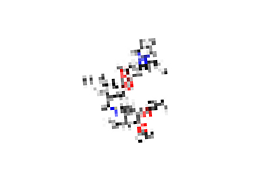 COc1cc2c(cc1OC)[C@H]1C[C@@H](COC(=O)CC(C)(C)n3cccc3)[C@H](CC(C)C)CN1CC2